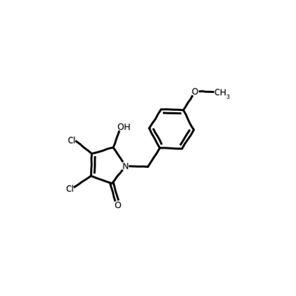 COc1ccc(CN2C(=O)C(Cl)=C(Cl)C2O)cc1